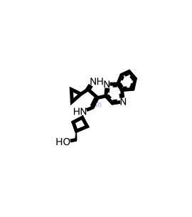 N=C(/C(=C\N[C@H]1C[C@H](CO)C1)c1cnc2ccccc2n1)C1CC1